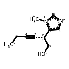 CCC#C[C@@H](CO)c1cncn1C